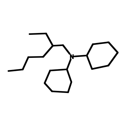 CCCCC(CC)CN(C1CCCCC1)C1CCCCC1